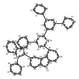 c1ccc(-c2cc(-c3ccccc3)cc(-c3nc(-c4ccccc4)nc(-c4cccc5sc6ccc(-c7nc8ccccc8n7-c7ccccc7)cc6c45)n3)c2)cc1